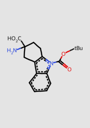 CC(C)(C)OC(=O)n1c2c(c3ccccc31)CC(N)(C(=O)O)CC2